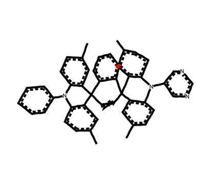 Cc1ccc2c(c1)C1(c3cc(C)ccc3N2c2ccccc2)c2ccccc2C2(c3cc(C)ccc3N(c3cncnc3)c3ccc(C)cc32)c2ccccc21